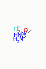 CCCC(=O)c1ccc(N)c(NC2CC(F)(F)C2)n1